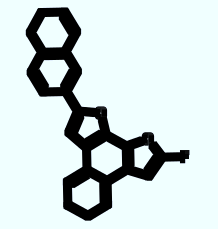 Fc1cc2c3c(c4cc(-c5ccc6c(c5)C=CCC6)oc4c2o1)=CCCC=3